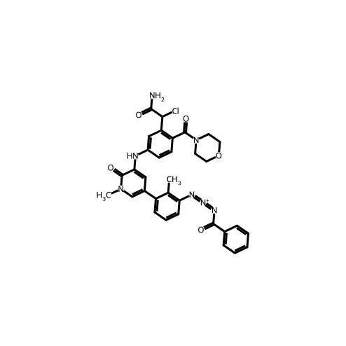 Cc1c(N=[N+]=NC(=O)c2ccccc2)cccc1-c1cc(Nc2ccc(C(=O)N3CCOCC3)c(C(Cl)C(N)=O)c2)c(=O)n(C)c1